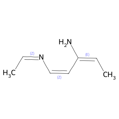 C\C=N/C=C\C(N)=C/C